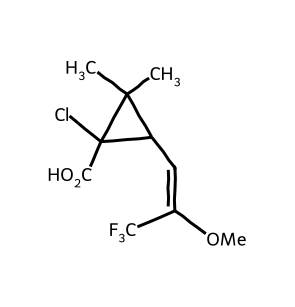 COC(=CC1C(C)(C)C1(Cl)C(=O)O)C(F)(F)F